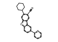 N#Cc1cc2c(cc1C1CCCCC1)oc1ccc(-c3ccccn3)cc12